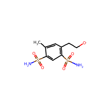 Cc1cc(CC[O])c(S(N)(=O)=O)cc1S(N)(=O)=O